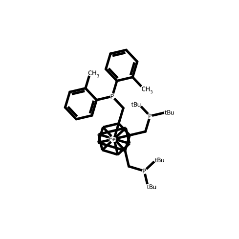 Cc1ccccc1P(C[C]12[CH]3[CH]4[C]5(CP(C(C)(C)C)C(C)(C)C)[C]1(CP(C(C)(C)C)C(C)(C)C)[Fe]34251678[CH]2[CH]1[CH]6[CH]7[CH]28)c1ccccc1C